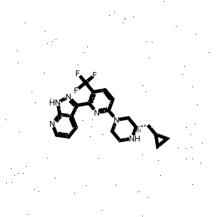 FC(F)(F)c1ccc(N2CCN[C@@H](CC3CC3)C2)nc1-c1n[nH]c2ncccc12